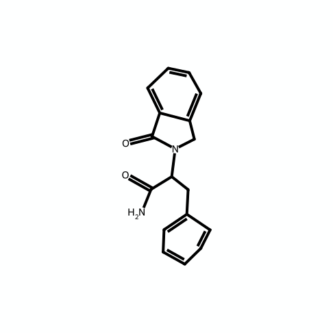 NC(=O)C(Cc1ccccc1)N1Cc2ccccc2C1=O